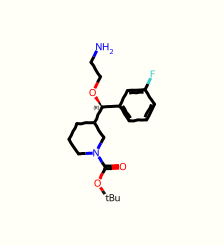 CC(C)(C)OC(=O)N1CCCC([C@@H](OCCN)c2cccc(F)c2)C1